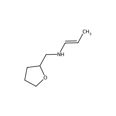 CC=CNCC1CCCO1